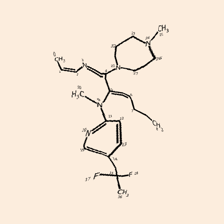 C\C=C/N=C(\C(=C\CC)N(C)c1ccc(C(C)(F)F)cn1)N1CCN(C)CC1